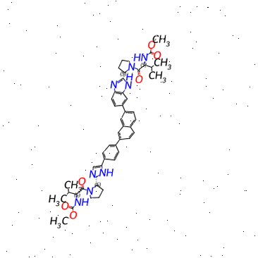 COC(=O)N[C@H](C(=O)N1CCC[C@H]1c1ncc(-c2ccc(-c3ccc4ccc(-c5ccc6nc([C@@H]7CCCN7C(=O)[C@@H](NC(=O)OC)C(C)C)[nH]c6c5)cc4c3)cc2)[nH]1)C(C)C